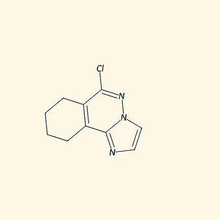 Clc1nn2ccnc2c2c1CCCC2